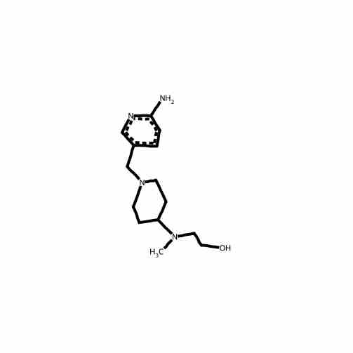 CN(CCO)C1CCN(Cc2ccc(N)nc2)CC1